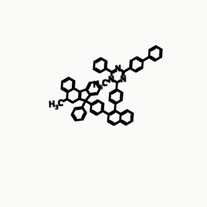 CC1CC2=C(c3ccccc31)c1ccccc1C2(c1ccccc1)c1ccc(-c2ccc3ccccc3c2-c2ccc(C3N=C(c4ccc(-c5ccccc5)cc4)N=C(c4ccccc4)N3C)cc2)cc1